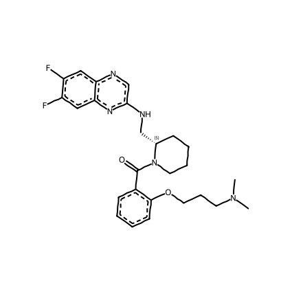 CN(C)CCCOc1ccccc1C(=O)N1CCCC[C@H]1CNc1cnc2cc(F)c(F)cc2n1